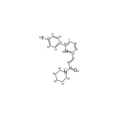 O=C(/C=C/c1cccc(-c2ccc(F)cc2)n1)N1CCCCC1